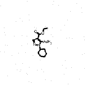 CCOC(=O)c1cnn(C2CCCCC2)c1[AsH2]